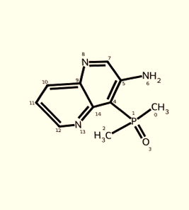 CP(C)(=O)c1c(N)cnc2cccnc12